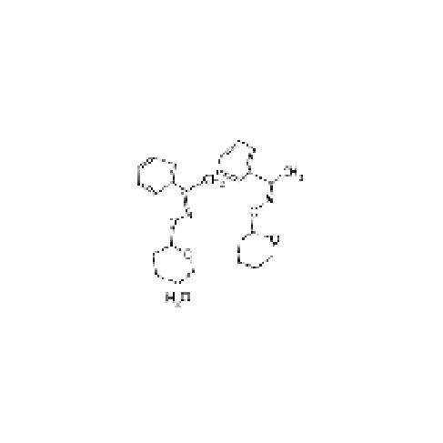 CC(=NOC1CCCCO1)c1ccccc1.CC(=NOC1CCCCO1)c1ccccc1.O